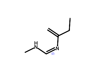 C=C(CC)/N=C\NC